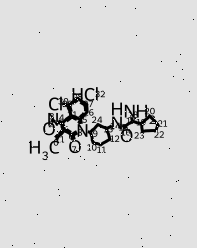 Cc1onc2c1c(=O)n(C1CCCC(NC(=O)C(N)C3CCCC3)C1)c1cccc(Cl)c21.Cl